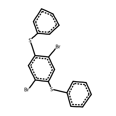 Brc1cc(Sc2ccccc2)c(Br)cc1Sc1ccccc1